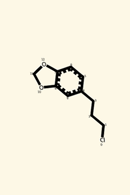 ClCCCc1ccc2c(c1)OCO2